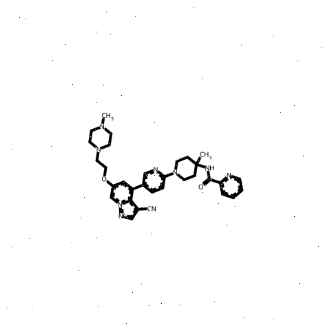 CN1CCN(CCOc2cc(-c3ccc(N4CCC(C)(NC(=O)c5ccccn5)CC4)nc3)c3c(C#N)cnn3c2)CC1